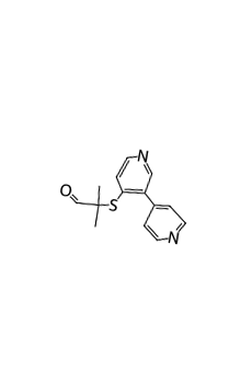 CC(C)(C=O)Sc1ccncc1-c1ccncc1